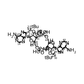 CC(C)(C)[Si](C)(C)OC1[C@H](n2cnc3c(N)ncnc32)O[C@@H]2COP(=O)(O)N[C@H]3C(O[Si](C)(C)C(C)(C)C)[C@H](n4cnc5c(N)ncnc54)O[C@@H]3COP(=O)(O)N[C@@H]12